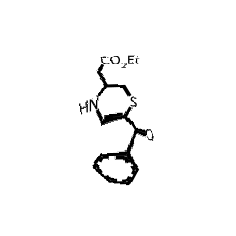 CCOC(=O)CC1CSC(C(=O)c2ccccc2)=CN1